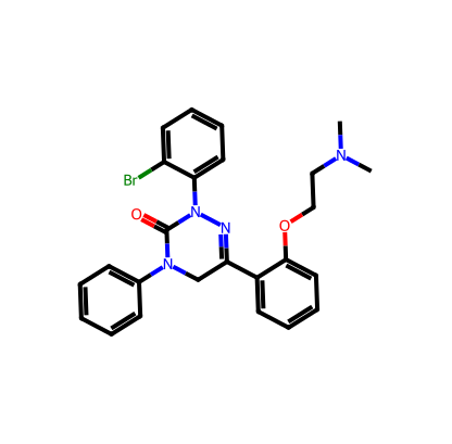 CN(C)CCOc1ccccc1C1=NN(c2ccccc2Br)C(=O)N(c2ccccc2)C1